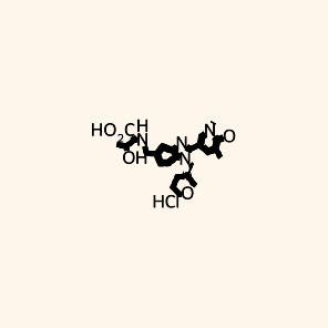 Cc1cc(-c2nc3cc(CNC(C(=O)O)C(C)O)ccc3n2C[C@@H]2CCCOC2)cn(C)c1=O.Cl